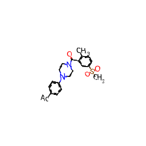 CC(=O)c1ccc(N2CCN(C(=O)c3cc(S(C)(=O)=O)ccc3C)CC2)cc1